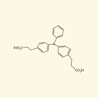 CCOC(=O)CCc1ccc(N(c2ccccc2)c2ccc(CCC(=O)OCC)cc2)cc1